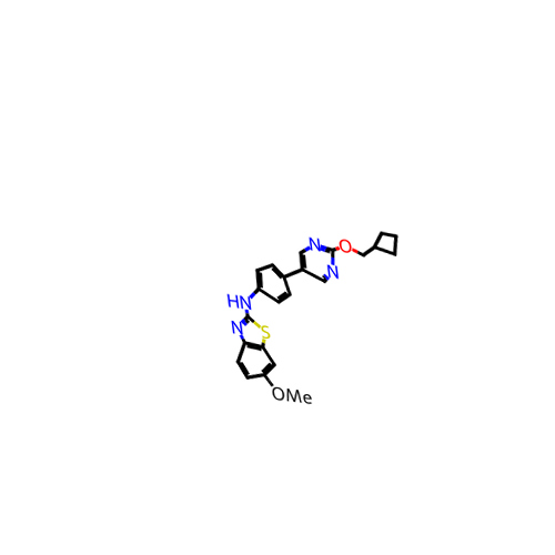 COc1ccc2nc(Nc3ccc(-c4cnc(OCC5CCC5)nc4)cc3)sc2c1